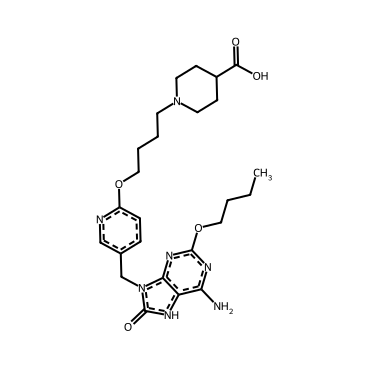 CCCCOc1nc(N)c2[nH]c(=O)n(Cc3ccc(OCCCCN4CCC(C(=O)O)CC4)nc3)c2n1